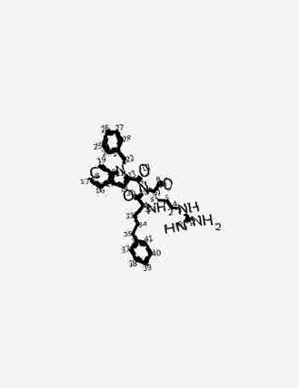 N=C(N)NCCC[C@@H]([C]=O)N(C(=O)c1cc2ccccc2n1Cc1ccccc1)C(=O)[C@H](N)CCCc1ccccc1